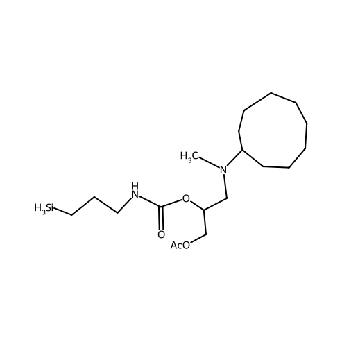 CC(=O)OCC(CN(C)C1CCCCCCCC1)OC(=O)NCCC[SiH3]